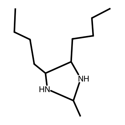 CCCCC1NC(C)NC1CCCC